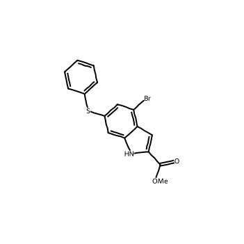 COC(=O)c1cc2c(Br)cc(Sc3ccccc3)cc2[nH]1